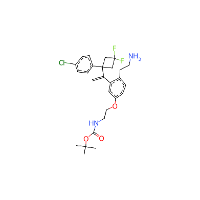 C=C(c1cc(OCCNC(=O)OC(C)(C)C)ccc1CCN)C1(c2ccc(Cl)cc2)CC(F)(F)C1